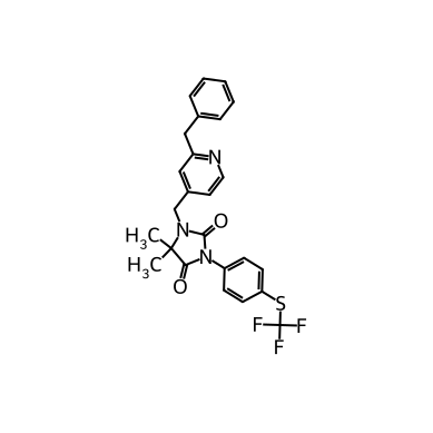 CC1(C)C(=O)N(c2ccc(SC(F)(F)F)cc2)C(=O)N1Cc1ccnc(Cc2ccccc2)c1